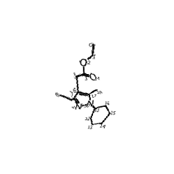 CCOC(=O)Cc1c(C)nn(C2CCCCC2)c1C